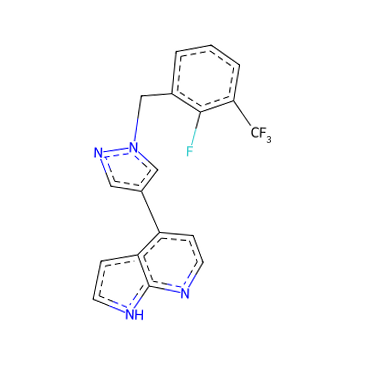 Fc1c(Cn2cc(-c3ccnc4[nH]ccc34)cn2)cccc1C(F)(F)F